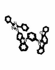 c1ccc(-c2nc(-c3ccccc3)n(-c3ccc4c5ccccc5n(-c5cccc(-n6c7ccccc7c7ccc8c9ccccc9oc8c76)c5)c4c3)n2)cc1